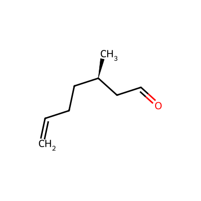 C=CCC[C@@H](C)CC=O